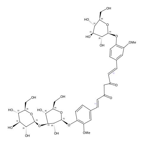 COc1cc(/C=C/C(=O)CC(=O)/C=C/c2ccc(O[C@@H]3O[C@H](CO)[C@@H](O)[C@H](O[C@@H]4O[C@H](CO)[C@@H](O)[C@H](O)[C@H]4O)[C@H]3O)c(OC)c2)ccc1O[C@@H]1O[C@H](CO)[C@@H](O)[C@H](O)[C@H]1O